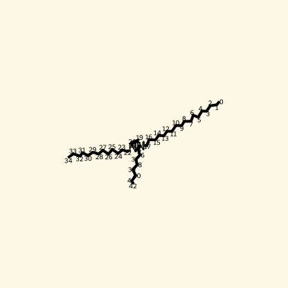 CCCCCCCCCCCCCCCCCC[n+]1ccn(CCCCCCCCCCCCC)c1CCCCCCC